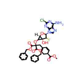 COC(=O)C1C=CC(CC(OC2[C@H]3O[C@@H](n4cnc5c(N)nc(Cl)nc54)[C@@H](F)[C@@]23O)(C(=O)OCc2ccccc2)C(=O)OCc2ccccc2)=CC1